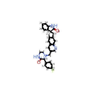 O=C1NCCN(Cc2cnc3cc4c(cc3c2)C[C@@]2(C4)C(=O)Nc3ccccc32)C1c1ccc(F)cc1